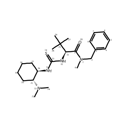 CN(Cc1ccccc1)C(=O)[C@@H](NC(=S)N[C@@H]1CCCC[C@H]1N(C)C)C(C)(C)C